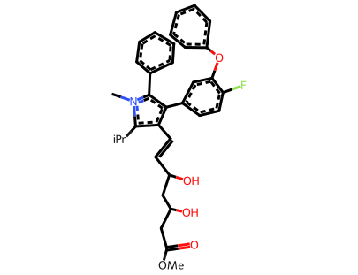 COC(=O)CC(O)CC(O)C=Cc1c(-c2ccc(F)c(Oc3ccccc3)c2)c(-c2ccccc2)n(C)c1C(C)C